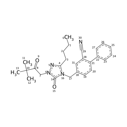 CCCCc1nn(CC(=O)C(C)(C)C)c(=O)n1Cc1ccc(-c2ccccc2)c(C#N)c1